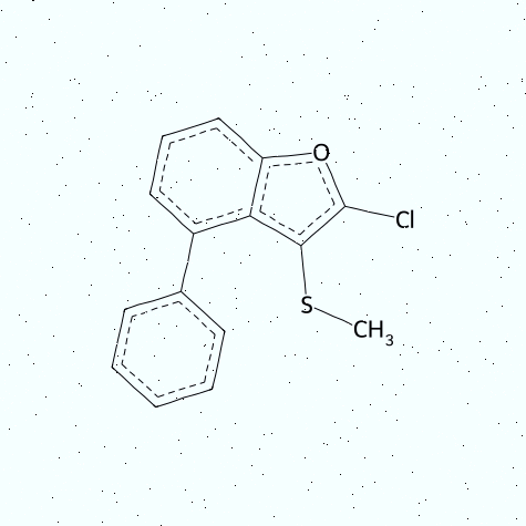 CSc1c(Cl)oc2cccc(-c3ccccc3)c12